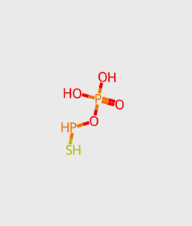 O=P(O)(O)OPS